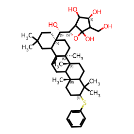 CC1(C)CC[C@]2([C@H](O)[C@H]3OC4(O)C(CO)[C@H](O)C(O)C34)CC[C@]3(C)C(=CCC4[C@@]5(C)CC[C@H](Sc6ccccc6)C(C)(C)C5CC[C@]43C)C2C1